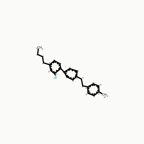 CCCCc1ccc(-c2ccc(CCc3ccc(C)cc3)cc2)c(F)c1